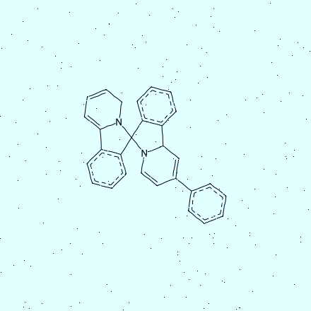 C1=CCN2C(=C1)c1ccccc1C21c2ccccc2C2C=C(c3ccccc3)C=CN21